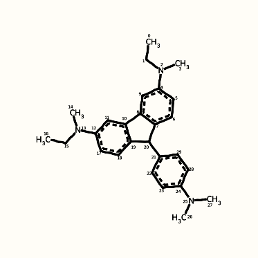 CCN(C)c1ccc2c(c1)-c1cc(N(C)CC)ccc1C2c1ccc(N(C)C)cc1